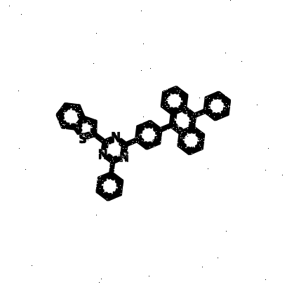 c1ccc(-c2nc(-c3ccc(-c4c5ccccc5c(-c5ccccc5)c5ccccc45)cc3)nc(-c3cc4ccccc4s3)n2)cc1